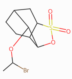 CC(Br)OC1C2CCC3C1OS(=O)(=O)C3C2